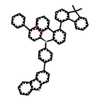 CC1(C)c2ccccc2-c2c(-c3cccc(N(c4ccc(-c5ccccc5)cc4)c4ccc(-c5ccc6sc7ccccc7c6c5)cc4)c3-c3ccccc3)cccc21